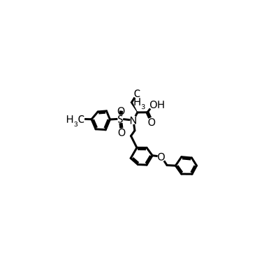 CC[C@@H](C(=O)O)N(CCc1cccc(OCc2ccccc2)c1)S(=O)(=O)c1ccc(C)cc1